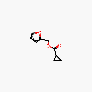 O=C(OCc1ccco1)C1CC1